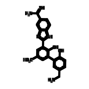 N=C(N)c1ccc2[nH]c(-c3cc(C(=O)O)cc(-c4cc(CN)ccc4O)c3O)nc2c1